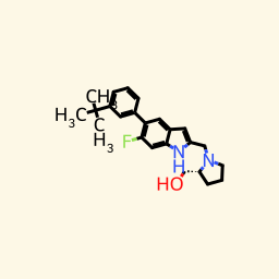 CC(C)(C)c1cccc(-c2cc3cc(CN4CCC[C@@H]4CO)[nH]c3cc2F)c1